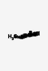 CCCCCCc1ccc(C2CCC(CCc3ccc(CCc4ccc(Cl)cc4)c(F)c3)CC2)cc1